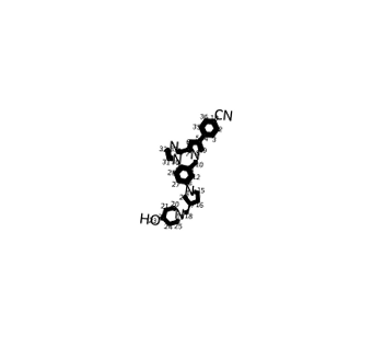 N#Cc1ccc(-c2cc3n(c2)Cc2cc(N4CC[C@@H](CN5CCC(O)CC5)C4)ccc2-n2ccnc2-3)cc1